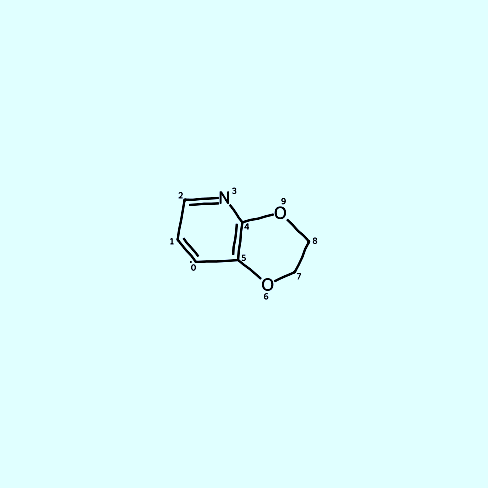 [c]1ccnc2c1OCCO2